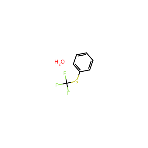 FC(F)(F)Sc1ccccc1.O